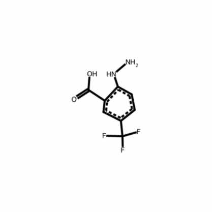 NNc1ccc(C(F)(F)F)cc1C(=O)O